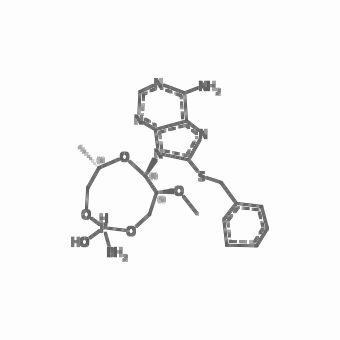 B[PH]1(O)OC[C@H](OC)[C@H](n2c(SCc3ccccc3)nc3c(N)ncnc32)O[C@@H](C)CO1